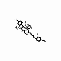 C[C@@H](S[C@@H]1CO[C@@H](C=CC=Cc2ccc(C#N)cc2F)CO1)[C@](O)(Cn1cncn1)c1ccc(Cl)cc1